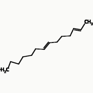 [CH2]CCCCCC=CCCCC=CC